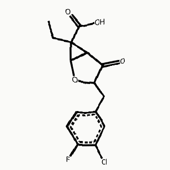 CCC1(C(=O)O)C2OC(Cc3ccc(F)c(Cl)c3)C(=O)C21